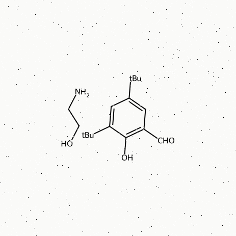 CC(C)(C)c1cc(C=O)c(O)c(C(C)(C)C)c1.NCCO